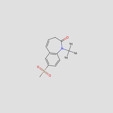 [2H]C([2H])([2H])N1C(=O)CC=Cc2cc(S(C)(=O)=O)ccc21